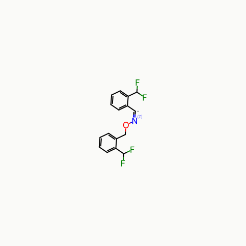 FC(F)c1ccccc1/[C]=N\OCc1ccccc1C(F)F